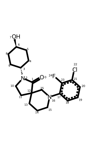 O=C1N([C@H]2CC[C@H](O)CC2)CCC12CCCN(c1cccc(Cl)c1F)C2